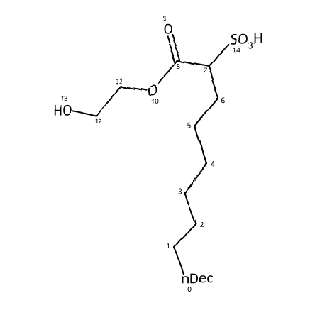 CCCCCCCCCCCCCCCCC(C(=O)OCCO)S(=O)(=O)O